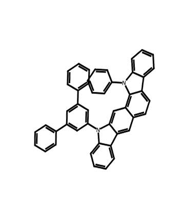 c1ccc(-c2cc(-c3ccccc3)cc(-n3c4ccccc4c4cc5ccc6c7ccccc7n(-c7ccccc7)c6c5cc43)c2)cc1